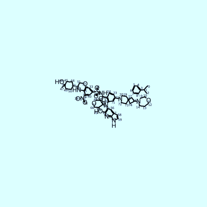 CC(C)c1ccccc1[C@@H]1COCCCN1C1CC2(CCN(c3ccc(C(=O)NS(=O)(=O)c4cc5c(c([N+](=O)[O-])c4)N[C@@H](C4CCC(C)(O)CC4)CO5)c(N4c5cc6cc[nH]c6nc5O[C@H]5COCC[C@@H]54)c3)CC2)C1